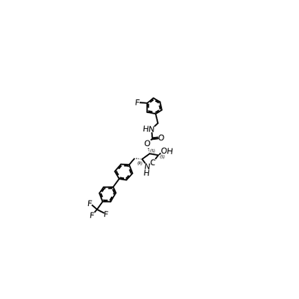 O=C(NCc1cccc(F)c1)O[C@@H]1[C@@H](O)CN[C@@H]1Cc1ccc(-c2ccc(C(F)(F)F)cc2)cc1